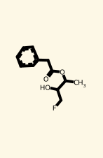 CC(OC(=O)Cc1ccccc1)[C](O)CF